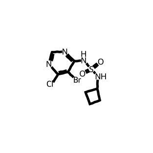 O=S(=O)(Nc1ncnc(Cl)c1Br)NC1CCC1